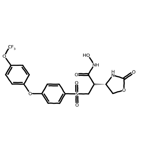 O=C1N[C@@H](C(CS(=O)(=O)c2ccc(Oc3ccc(OC(F)(F)F)cc3)cc2)C(=O)NO)CO1